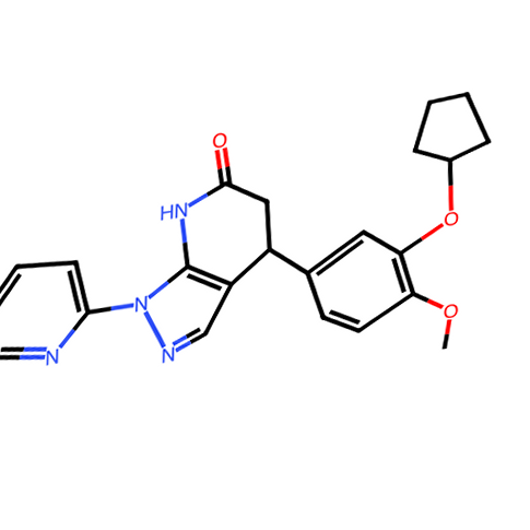 COc1ccc(C2CC(=O)Nc3c2cnn3-c2ccccn2)cc1OC1CCCC1